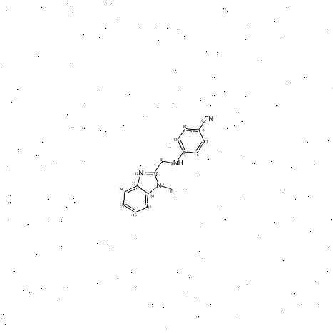 Cn1c(CNc2ccc(C#N)cc2)nc2c[c]ccc21